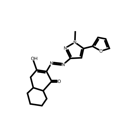 Cn1nc(N=NC2=C(O)CC3CCCCC3C2=O)cc1-c1ccco1